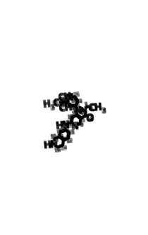 CCn1c(=O)c2cnc(Nc3ccc4c(c3)CNCC4)cc2n1-c1ccnc(C(C)(C)C)c1